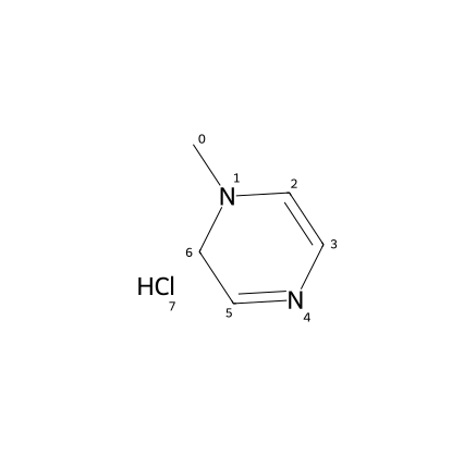 CN1C=CN=CC1.Cl